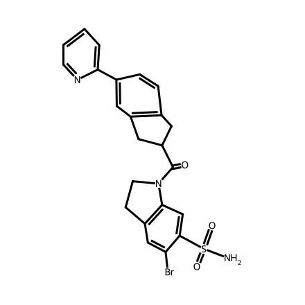 NS(=O)(=O)c1cc2c(cc1Br)CCN2C(=O)C1Cc2ccc(-c3ccccn3)cc2C1